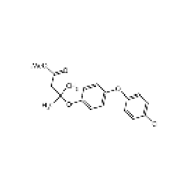 COC(=O)CC(C)(C)Oc1ccc(Oc2ccc(Cl)cc2)cc1